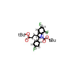 CC(C)(C)OC(=O)CCc1c(-c2ccc(F)cc2)n(C(=O)OC(C)(C)C)c2c(F)cc(F)cc12